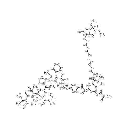 CCCC(S)(CC)C1CC(=O)N(CCOCCOCCOCCC(=O)N[C@H](C(=O)N[C@@H](CCCNC(N)=O)C(=O)Nc2ccc(CS(=O)(=O)NC(=O)[C@H](Cc3ccccc3)NC(=O)[C@H](C)[C@@H](OC)[C@@H]3CCCN3C(=O)C[C@@H](OC)[C@H](C(C)CC)N(C)C(=O)[C@@H](NC(=O)[C@H](C(C)C)N(C)C)C(C)C)cc2)C(C)C)C1=O